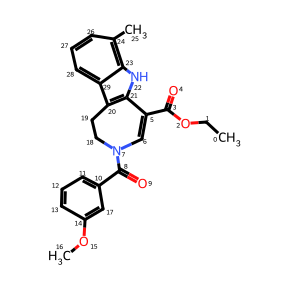 CCOC(=O)C1=CN(C(=O)c2cccc(OC)c2)CCc2c1[nH]c1c(C)cccc21